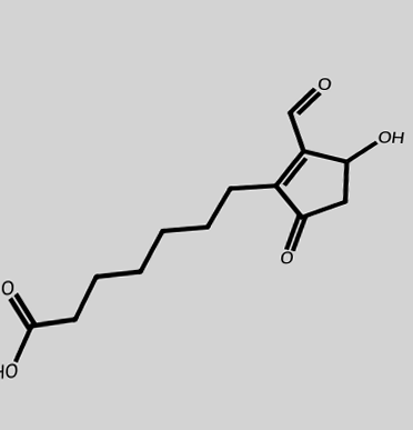 O=CC1=C(CCCCCCC(=O)O)C(=O)CC1O